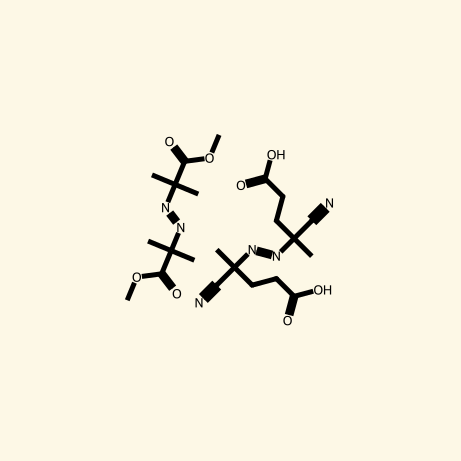 CC(C#N)(CCC(=O)O)N=NC(C)(C#N)CCC(=O)O.COC(=O)C(C)(C)N=NC(C)(C)C(=O)OC